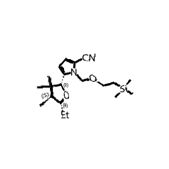 CC[C@H]1O[C@@H](c2ccc(C#N)n2COCC[Si](C)(C)C)C(C)(C)[C@@H]1C